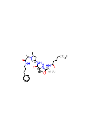 CCC[C@H](NC(=O)[C@@H](NC(=O)CCCC(=O)O)[C@@H](C)CC)C(=O)N[C@H]1CC(C)N([C@@H](C)C(=O)NCCCc2ccccc2)C1